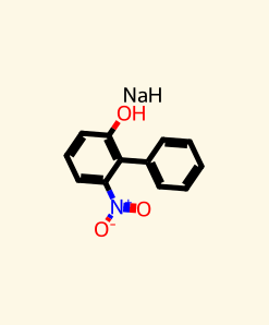 O=[N+]([O-])c1cccc(O)c1-c1ccccc1.[NaH]